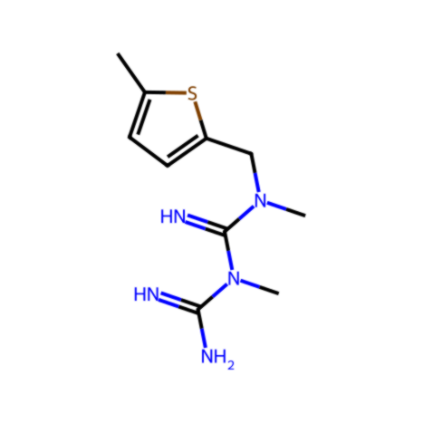 Cc1ccc(CN(C)C(=N)N(C)C(=N)N)s1